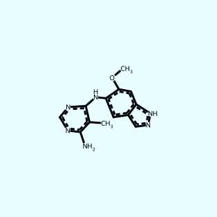 COc1cc2[nH]ncc2cc1Nc1ncnc(N)c1C